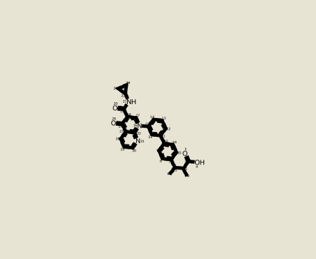 CC(C(=O)O)C(C)c1ccc(-c2cccc(-n3cc(C(=O)NC4CC4)c(=O)c4cccnc43)c2)cc1